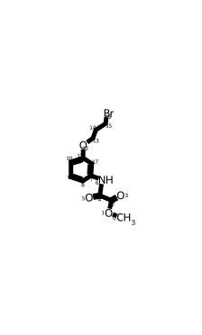 COC(=O)C(=O)Nc1cccc(OCCCBr)c1